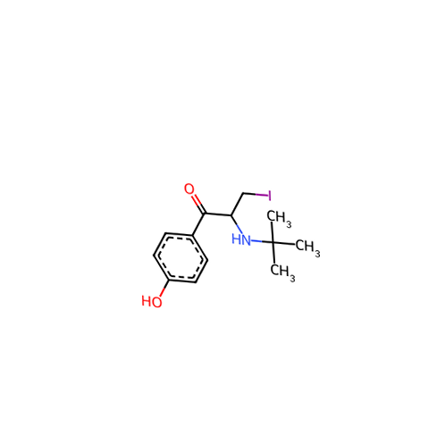 CC(C)(C)NC(CI)C(=O)c1ccc(O)cc1